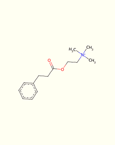 C[N+](C)(C)CCOC(=O)CCc1ccccc1